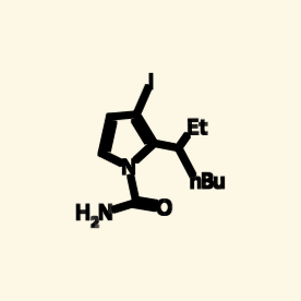 CCCCC(CC)c1c(I)ccn1C(N)=O